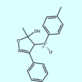 Cc1ccc([S@+]([O-])C2C(c3ccccc3)=NOC2(C)O)cc1